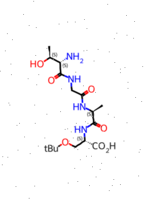 C[C@H](NC(=O)CNC(=O)[C@@H](N)[C@H](C)O)C(=O)N[C@@H](COC(C)(C)C)C(=O)O